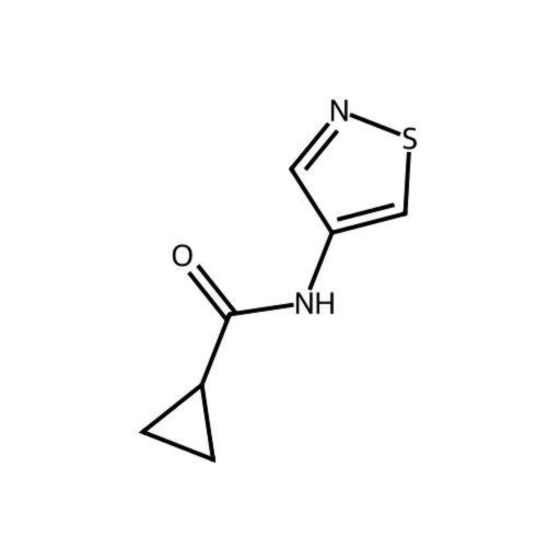 O=C(Nc1cnsc1)C1CC1